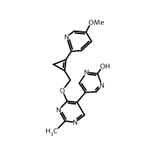 COc1ccc(C2=C(COc3nc(C)ncc3-c3cnc(O)nc3)C2)nc1